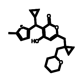 Cc1ccc(C(c2c(O)cc(CC3(CC4CCCCO4)CC3)oc2=O)C2CC2)s1